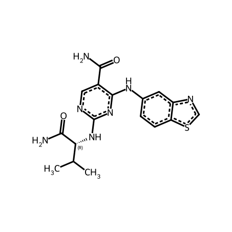 CC(C)[C@@H](Nc1ncc(C(N)=O)c(Nc2ccc3scnc3c2)n1)C(N)=O